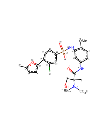 COc1ccc(NC(=O)C(C)(CO)N(C(=O)O)C(C)(C)C)cc1NS(=O)(=O)c1ccc(-c2ccc(C)o2)c(F)c1